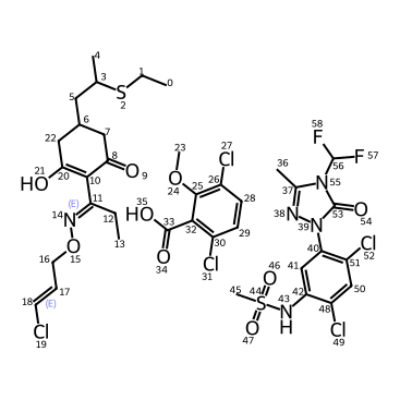 CCSC(C)CC1CC(=O)C(/C(CC)=N/OC/C=C/Cl)=C(O)C1.COc1c(Cl)ccc(Cl)c1C(=O)O.Cc1nn(-c2cc(NS(C)(=O)=O)c(Cl)cc2Cl)c(=O)n1C(F)F